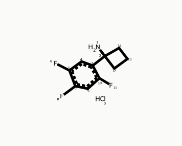 Cl.NC1(c2cc(F)c(F)cc2F)CCC1